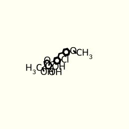 CCOc1ccc(Cc2cc([C@@]34OC[C@@](C(C)O)(C[C@H](O)[C@H]3O)O4)ccc2Cl)cc1